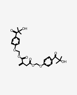 C=C(CC(=O)OCOc1ccc(C(=O)C(C)(C)O)cc1)C(=O)OCOc1ccc(C(=O)C(C)(C)O)cc1